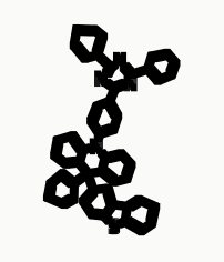 c1ccc(-c2nc(-c3ccccc3)nc(-c3ccc(N4c5ccccc5C(c5ccccc5)(c5ccc6sc7ccccc7c6c5)c5ccccc54)cc3)n2)cc1